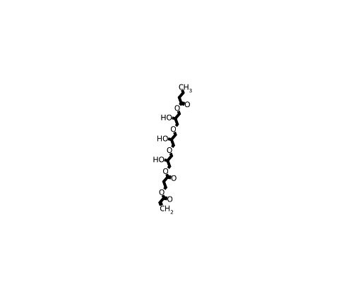 C=CC(=O)OCCC(=O)OCC(O)COCC(O)COCC(O)COC(=O)CCC